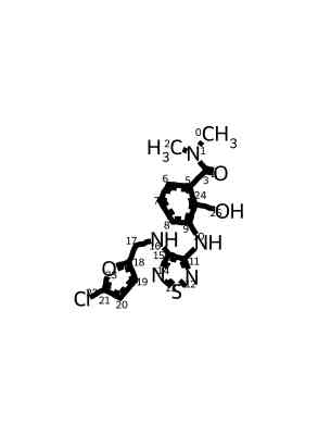 CN(C)C(=O)c1cccc(Nc2nsnc2NCc2ccc(Cl)o2)c1O